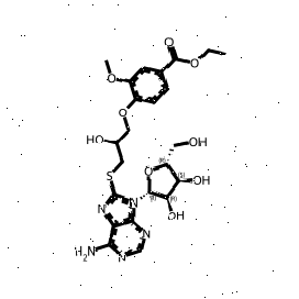 CCOC(=O)c1ccc(OCC(O)CSc2nc3c(N)ncnc3n2[C@@H]2O[C@H](CO)[C@@H](O)[C@H]2O)c(OC)c1